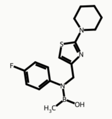 CB(O)N(Cc1csc(N2CCCCC2)n1)c1ccc(F)cc1